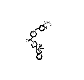 CS(=O)(=O)N(Cc1ccccn1)C1CCN(C(=O)C2CCN(Cc3ccnc(N)c3)CC2)CC1